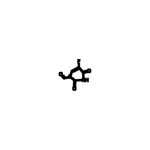 O=Cn1cc(F)c(=O)[nH]c1=O